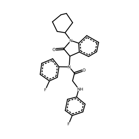 O=C1C(N(C(=O)CNc2ccc(F)cc2)c2cccc(F)c2)c2ccccc2N1C1CCCCC1